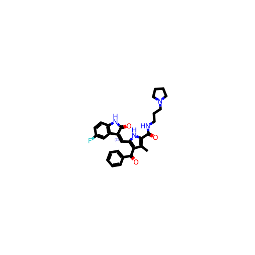 Cc1c(C(=O)NCCCN2CCCC2)[nH]c(/C=C2\C(=O)Nc3ccc(F)cc32)c1C(=O)c1ccccc1